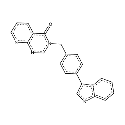 O=c1c2cccnc2ncn1Cc1ccc(-c2cnc3ccccn23)cc1